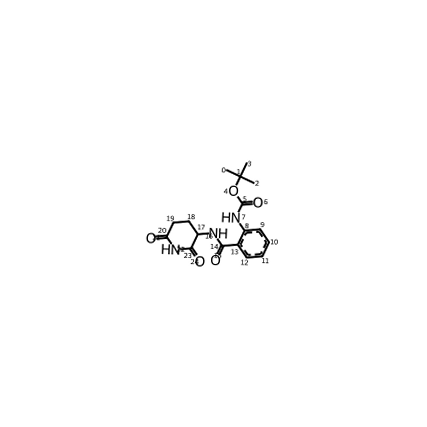 CC(C)(C)OC(=O)Nc1ccccc1C(=O)NC1CCC(=O)NC1=O